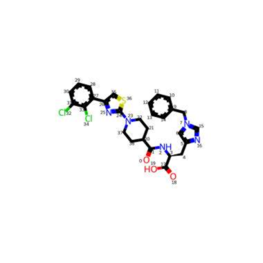 O=C(N[C@@H](Cc1cn(Cc2ccccc2)cn1)C(=O)O)C1CCN(c2nc(-c3cccc(Cl)c3Cl)cs2)CC1